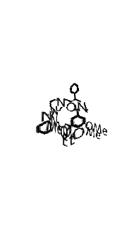 CCOCCn1c(N2CCCN(CCC(CN(C)C(=O)c3cc(OC)c(OC)c(OC)c3)c3ccccc3)CC2)nc2ccccc21